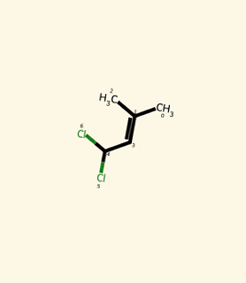 CC(C)=CC(Cl)Cl